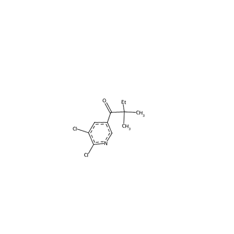 CCC(C)(C)C(=O)c1cnc(Cl)c(Cl)c1